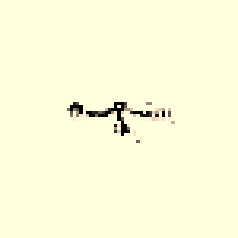 COC(=O)C=Cc1c(C#CCCCCOC2CCCCO2)cccc1OCCCCC(=O)OC